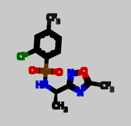 C[C@H](NS(=O)(=O)c1ccc(C(F)(F)F)cc1Cl)c1noc(C(F)(F)F)n1